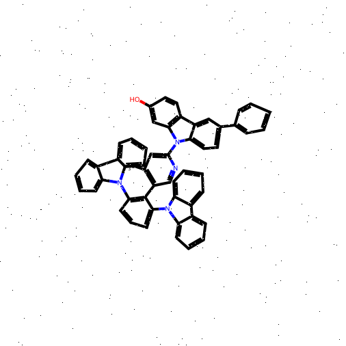 Cc1cc(-n2c3ccc(-c4ccccc4)cc3c3ccc(O)cc32)ncc1-c1c(-n2c3ccccc3c3ccccc32)cccc1-n1c2ccccc2c2ccccc21